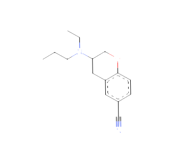 CCCN(CC)C1COc2ccc(C#N)cc2C1